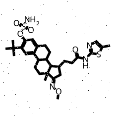 CON=C1CC(CCC(=O)Nc2ncc(C)s2)C2C3CCc4cc(OS(N)(=O)=O)c(C(C)(C)C)cc4C3CCC12C